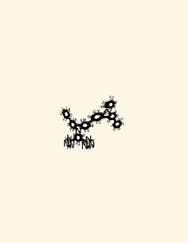 c1ccc(-c2ccc3c(c2)c2cc(-c4ccc5c(c4)c4cc(-c6ccccc6)ccc4n5-c4cc(-c5ncncn5)cc(-c5ncncn5)c4)ccc2n3-c2ccccc2)cc1